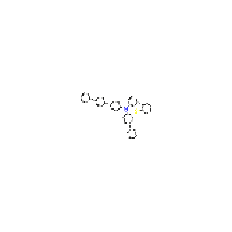 c1ccc(-c2ccc(-c3ccc(N(c4ccc(-c5ccccc5)cc4)c4cccc5c4sc4ccccc45)cc3)cc2)cc1